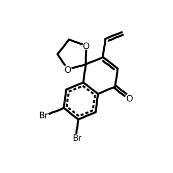 C=CC1=CC(=O)c2cc(Br)c(Br)cc2C12OCCO2